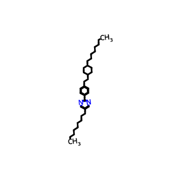 CCCCCCCCCc1cnc(-c2ccc(CCC3CCC(CCCCCCCC)CC3)cc2)nc1